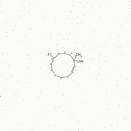 CC1(S)/C=C\CCCCCC(F)CCC1